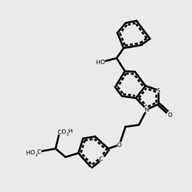 O=C(O)C(Cc1ccc(OCCn2c(=O)sc3cc(C(O)c4ccccc4)ccc32)cc1)C(=O)O